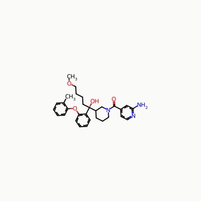 COCCCC[C@@](O)(c1ccccc1Oc1ccccc1C)C1CCCN(C(=O)c2ccnc(N)c2)C1